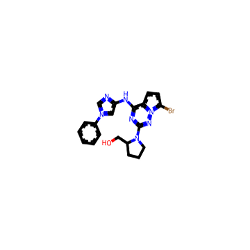 OCC1CCCN1c1nc(Nc2cn(-c3ccccc3)cn2)c2ccc(Br)n2n1